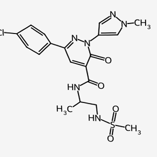 CC(CNS(C)(=O)=O)NC(=O)c1cc(-c2ccc(Cl)cc2)nn(-c2cnn(C)c2)c1=O